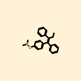 CC/C(=C(\c1ccccc1)c1ccc(ON(C)C)cc1)c1ccccc1